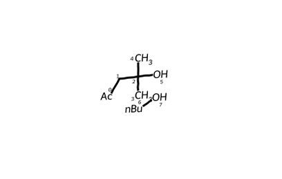 CC(=O)CC(C)(C)O.CCCCO